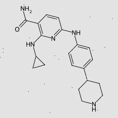 NC(=O)c1ccc(Nc2ccc(C3CCNCC3)cc2)nc1NC1CC1